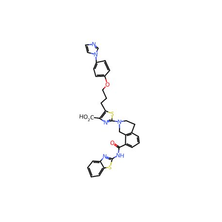 O=C(Nc1nc2ccccc2s1)c1cccc2c1CN(c1nc(C(=O)O)c(CCCOc3ccc(-n4ccnc4)cc3)s1)CC2